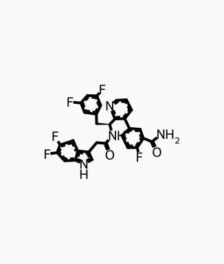 NC(=O)c1cc(-c2cccnc2[C@H](Cc2cc(F)cc(F)c2)NC(=O)Cc2c[nH]c3cc(F)c(F)cc23)ccc1F